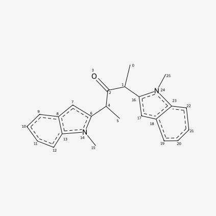 CC(C(=O)C(C)c1cc2ccccc2n1C)c1cc2ccccc2n1C